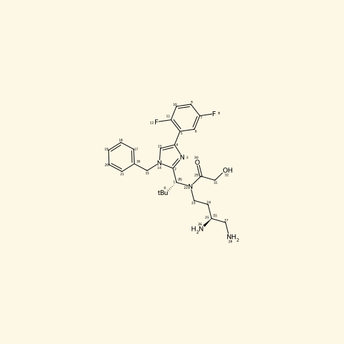 CC(C)(C)[C@H](c1nc(-c2cc(F)ccc2F)cn1Cc1ccccc1)N(CC[C@H](N)CN)C(=O)CO